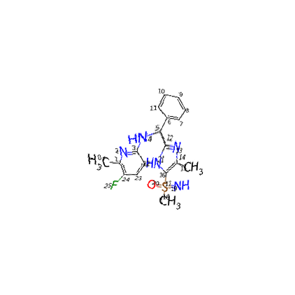 Cc1nc(NC(c2ccccc2)c2nc(C)c(S(C)(=N)=O)[nH]2)ccc1F